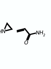 C1CN1.C=CC(N)=O